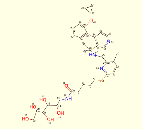 Cc1ccc(SCCCCC(=O)NCC(O)C(O)C(O)C(O)CO)nc1CNC1(c2cnccc2-c2ccccc2OC2CC2)CC1